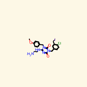 COc1ccc(Cn2c(NCCN)nc(=O)n(Cc3ccc(Cl)c(CI)c3)c2=O)cc1